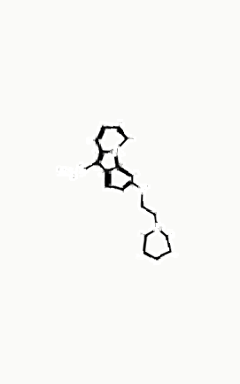 CCOC(=O)c1c2ccc(OCCN3CCCCC3)cc2n2ccccc12